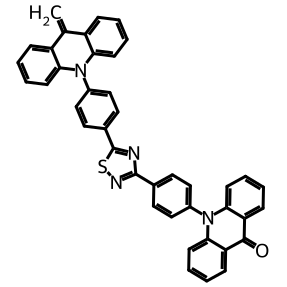 C=C1c2ccccc2N(c2ccc(-c3nc(-c4ccc(-n5c6ccccc6c(=O)c6ccccc65)cc4)ns3)cc2)c2ccccc21